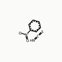 N=C=S.O=[N+]([O-])c1ccccc1